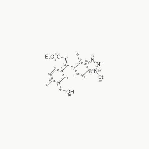 CCOC(=O)C[C@H](c1ccc(C)c(CO)c1)c1ccc2c(nnn2CC)c1C